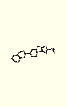 INc1nc2c(s1)Cc1cc(-c3ccc4ccccc4c3)ccc1-2